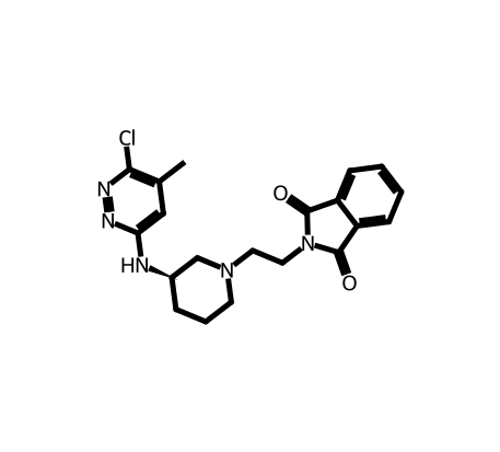 Cc1cc(N[C@@H]2CCCN(CCN3C(=O)c4ccccc4C3=O)C2)nnc1Cl